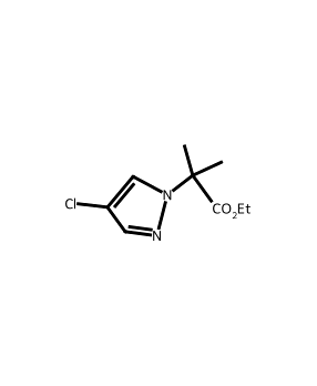 CCOC(=O)C(C)(C)n1cc(Cl)cn1